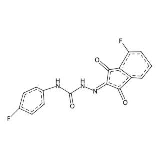 O=C(NN=c1c(=O)c2cccc(F)c2c1=O)Nc1ccc(F)cc1